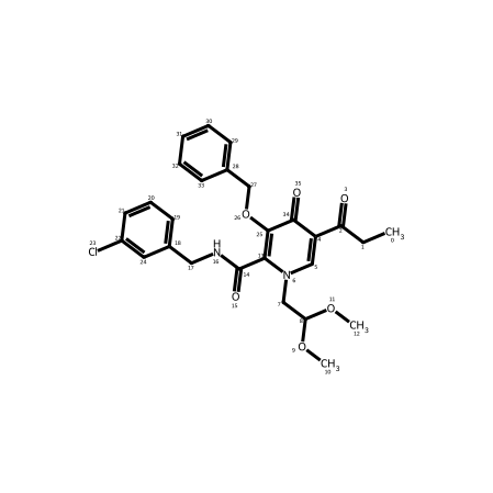 CCC(=O)c1cn(CC(OC)OC)c(C(=O)NCc2cccc(Cl)c2)c(OCc2ccccc2)c1=O